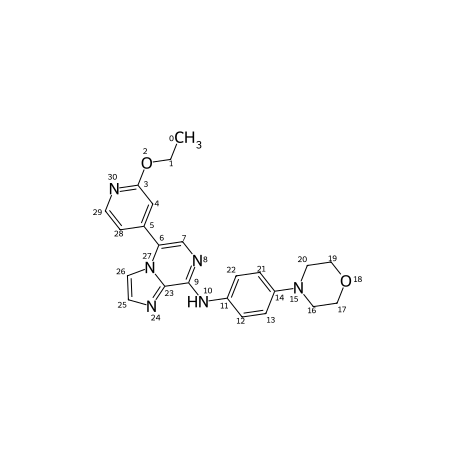 CCOc1cc(-c2cnc(Nc3ccc(N4CCOCC4)cc3)c3nccn23)ccn1